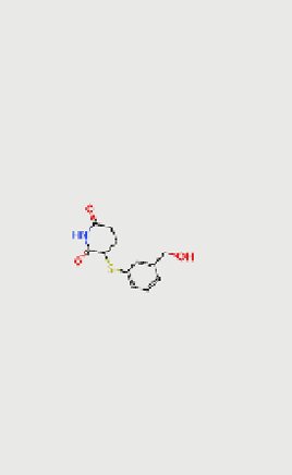 O=C1CCC(Sc2cccc(CO)c2)C(=O)N1